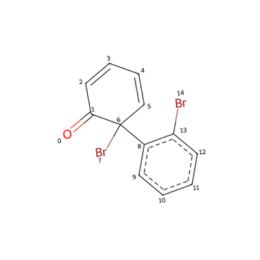 O=C1C=CC=CC1(Br)c1ccccc1Br